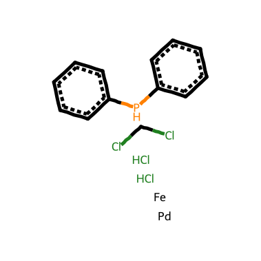 Cl.Cl.ClCCl.[Fe].[Pd].c1ccc(Pc2ccccc2)cc1